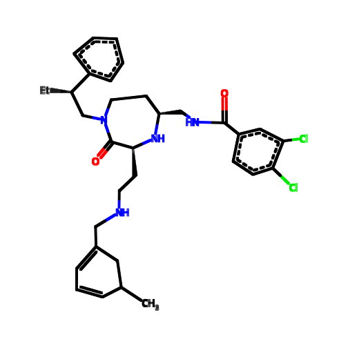 CC[C@H](CN1CC[C@@H](CNC(=O)c2ccc(Cl)c(Cl)c2)N[C@@H](CCNCC2=CC=CC(C)C2)C1=O)c1ccccc1